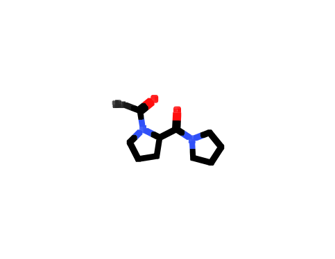 CC(C)(C)C(=O)N1CCCC1C(=O)N1CCCC1